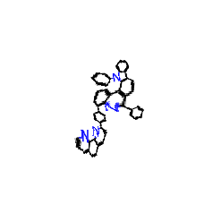 c1ccc(-c2nc3c(-c4ccc(-c5ccc6ccc7cccnc7c6n5)cc4)cccc3c3c2ccc2c4ccccc4n(-c4ccccc4)c23)cc1